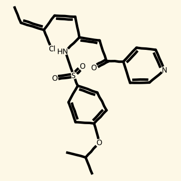 C\C=C(Cl)/C=C\C(=C\C(=O)c1ccncc1)NS(=O)(=O)c1ccc(OC(C)C)cc1